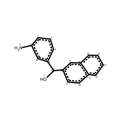 Nc1cccc(C(O)c2ccc3ccccc3c2)c1